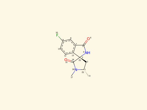 C[C@H]1C[C@@]2(NC(=O)c3cc(F)ccc32)C(=O)N1C